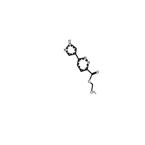 CCOC(=O)c1ccc(-c2cn[nH]c2)nn1